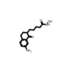 Nc1ccc2c(c1)C(=O)C(CCCCC(=O)NO)CC2